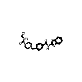 O=C(Nc1nc2ccccc2s1)c1ccc(CN2CCN(C(=O)NCCl)CC2)cc1